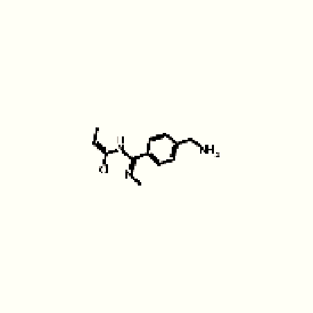 C/C=C(/Cl)N/C(=N/C)c1ccc(CN)cc1